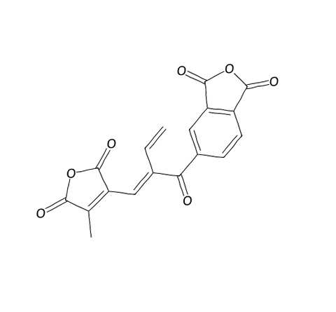 C=C/C(=C\C1=C(C)C(=O)OC1=O)C(=O)c1ccc2c(c1)C(=O)OC2=O